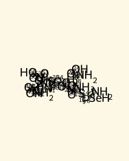 CC(C)(N)Cc1c([SeH])cccc1SCC(NC(=O)CCC(N)C(=O)O)C(=O)NCC(=O)Oc1cccc(SCC(NC(=O)CCC(N)C(=O)O)C(=O)NCC(=O)O)c1CC(C)(C)N